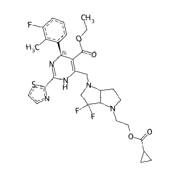 CCOC(=O)C1=C(CN2CC(F)(F)C3C2CCN3CCOC(=O)C2CC2)NC(c2nccs2)=N[C@H]1c1cccc(F)c1C